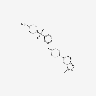 Cn1ncc2ccc(C3CCN(Cc4cccc(S(=O)(=O)N5CCC(N)CC5)c4)CC3)cc21